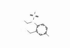 CCN(c1ccc(Cl)cc1CN)S(C)(=O)=O.Cl